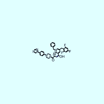 O=C(/C=C(/O)c1cc(Cc2c(F)cc(F)cc2F)cn(Cc2ccccc2)c1=O)C(=O)N1CCN(c2ccc(-n3cncn3)cc2)CC1